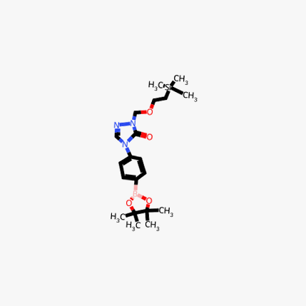 CC1(C)OB(c2ccc(-n3cnn(COCC[Si](C)(C)C)c3=O)cc2)OC1(C)C